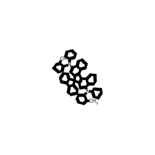 Cc1ccccc1N(c1ccccc1)c1cc2c(c3ccccc13)-c1c(cc(N(c3ccccc3)c3ccccc3C)c3ccccc13)C21c2ccccc2-c2ccccc21